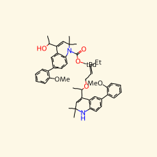 CC/C=C/COC(C)C1=CC(C)(C)Nc2ccc(-c3ccccc3OC)cc21.COc1ccccc1-c1ccc2c(c1)C(C(C)O)=CC(C)(C)N2C(=O)OC(C)(C)C